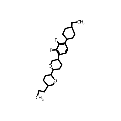 CCCC1CCC(C2CCC(c3ccc(C4CCC(CC)CC4)c(F)c3F)CO2)OC1